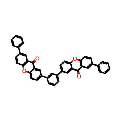 O=c1c2cc(-c3ccccc3)ccc2oc2ccc(-c3cccc(-c4ccc5oc6ccc(-c7ccccc7)cc6c(=O)c5c4)c3)cc12